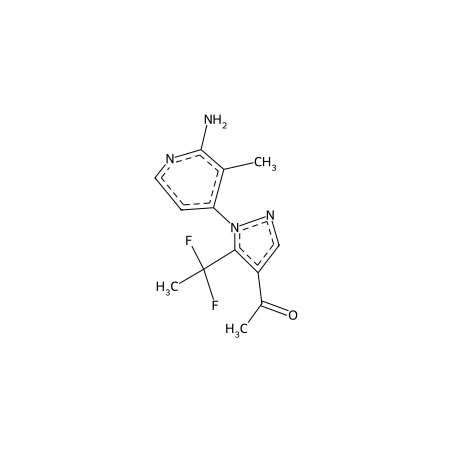 CC(=O)c1cnn(-c2ccnc(N)c2C)c1C(C)(F)F